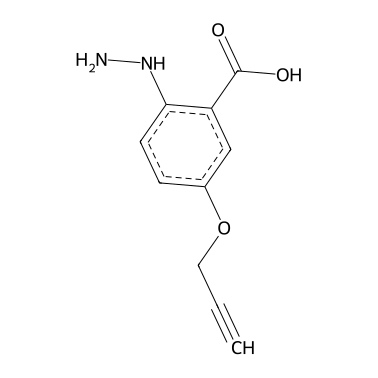 C#CCOc1ccc(NN)c(C(=O)O)c1